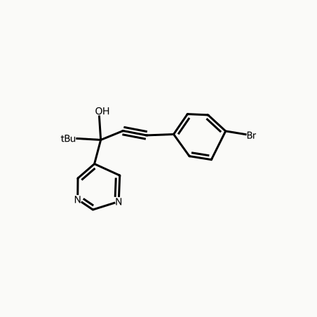 CC(C)(C)C(O)(C#Cc1ccc(Br)cc1)c1cncnc1